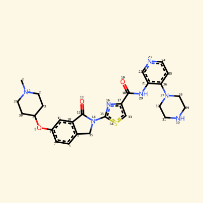 CN1CCC(Oc2ccc3c(c2)C(=O)N(c2nc(C(=O)Nc4cnccc4N4CCNCC4)cs2)C3)CC1